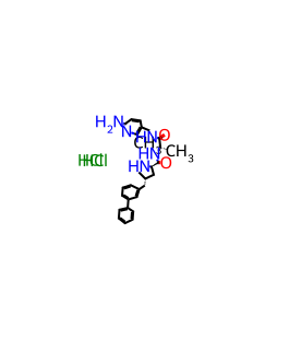 Cc1nc(N)ccc1CNC(=O)[C@H](C)NC(=O)[C@H]1C[C@H](Cc2cccc(-c3ccccc3)c2)CN1.Cl.Cl